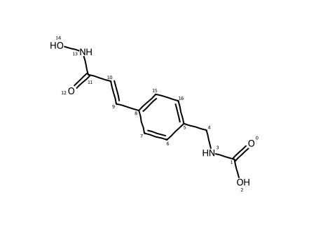 O=C(O)NCc1ccc(C=CC(=O)NO)cc1